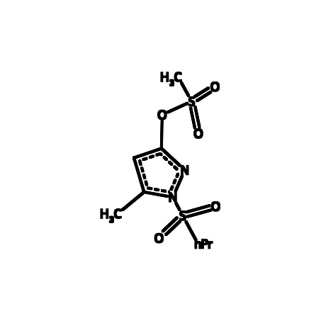 CCCS(=O)(=O)n1nc(OS(C)(=O)=O)cc1C